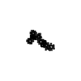 CC1(C)c2ccccc2-c2cc3c(cc21)Oc1ccc(-c2cccc(-c4nc(-c5ccccc5)nc5ccccc45)c2)cc1O3